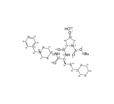 CC(C)(C)OC(=O)N1CC(=O)CC1C(=O)N[C@@H](CSCC1CCCCC1)C(=O)NC1CCN(Cc2ccccc2)CC1.Cl